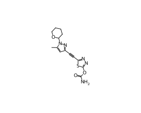 Cc1cc(C#Cc2nnc(OC(N)=O)s2)nn1C1CCCCO1